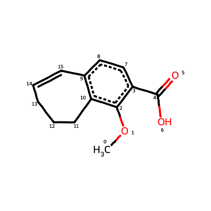 COc1c(C(=O)O)ccc2c1CCCC=C2